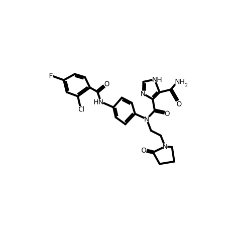 NC(=O)c1[nH]cnc1C(=O)N(CCN1CCCC1=O)c1ccc(NC(=O)c2ccc(F)cc2Cl)cc1